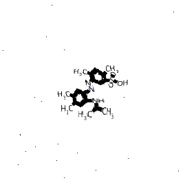 Cc1cc(/N=N/c2cc(S(=O)(=O)O)c(C)cc2C)c(NC(C)C)cc1C